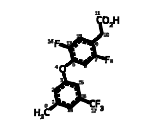 Cc1cc(Oc2cc(F)c(CC(=O)O)cc2F)cc(C(F)(F)F)c1